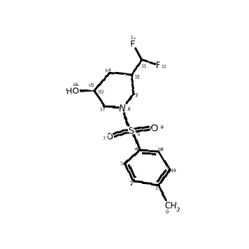 Cc1ccc(S(=O)(=O)N2CC(C(F)F)C[C@H](O)C2)cc1